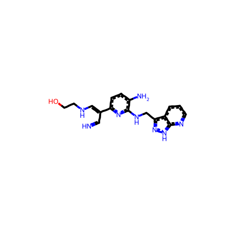 N=C/C(=C\NCCO)c1ccc(N)c(NCc2n[nH]c3ncccc23)n1